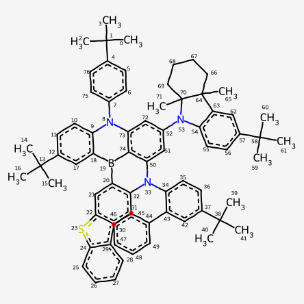 CC(C)(C)c1ccc(N2c3ccc(C(C)(C)C)cc3B3c4cc5sc6ccccc6c5cc4N(c4ccc(C(C)(C)C)cc4-c4ccccc4)c4cc(N5c6ccc(C(C)(C)C)cc6C6(C)CCCCC56C)cc2c43)cc1